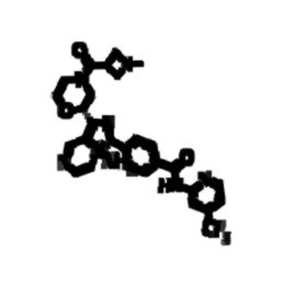 CN1CC(C(=O)N2CCO[C@@H](C3=C4C=NC=C[N+]4(N)C(c4ccc(C(=O)Nc5cc(C(F)(F)F)ccn5)cc4)=N3)C2)C1